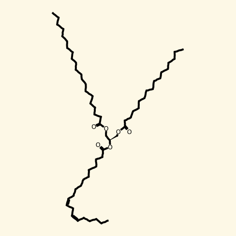 CCCCC/C=C\C/C=C\CCCCCCCCCC(=O)O[C@H](COC(=O)CCCCCCCCCCCCCCCC)COC(=O)CCCCCCCCCCCCCCCCCCCC